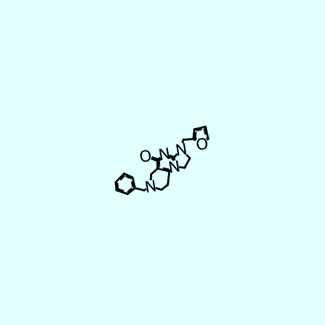 O=c1nc2n(c3c1CN(Cc1ccccc1)CC3)CCN2Cc1ccco1